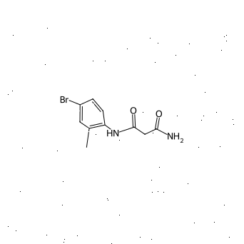 Cc1cc(Br)ccc1NC(=O)CC(N)=O